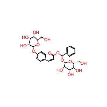 O=C(/C=C\c1ccc(OC2O[C@H](CO)[C@@H](O)[C@H](O)[C@H]2O)cc1)OC(OC1O[C@H](CO)[C@@H](O)[C@H](O)[C@H]1O)c1ccccc1